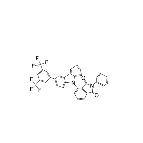 O=C1c2cccc(-n3c4ccccc4c4cc(-c5cc(C(F)(F)F)cc(C(F)(F)F)c5)ccc43)c2C(=O)N1c1ccccc1